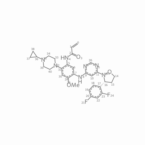 C=CC(=O)Nc1cc(Nc2cc(N3OCC[C@@H]3c3ccc(F)cc3F)ncn2)c(OC)cc1N1CCN(C2CC2)CC1